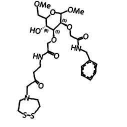 COCC1OC(OC)[C@@H](OCC(=O)NCc2ccccc2)[C@@H](OCC(=O)NCCC(=O)CN2CCSSCC2)[C@@H]1O